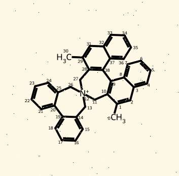 Cc1cc2ccccc2c2c1C[N+]1(Cc3ccccc3-c3ccccc3C1)Cc1c(C)cc3ccccc3c1-2